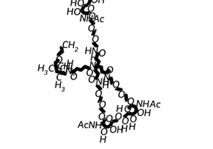 C=CC=COCC(C)(C)CC(C)(C)CNC(=O)CCCC(=O)NC(CCC(=O)NCCOCCOCCOC1OC(CO)C(O)C(O)C1NC(C)=O)(CCC(=O)NCCOCCOCCOC1OC(CO)C(O)C(O)C1NC(C)=O)CCC(=O)NCCOCCOCCOC1OC(CO)C(O)C(O)C1NC(C)=O